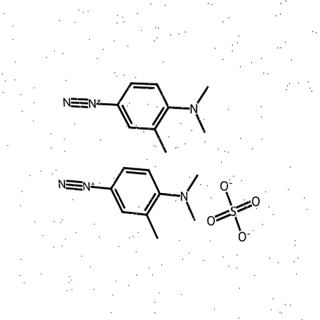 Cc1cc([N+]#N)ccc1N(C)C.Cc1cc([N+]#N)ccc1N(C)C.O=S(=O)([O-])[O-]